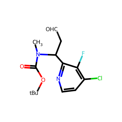 CN(C(=O)OC(C)(C)C)C(CC=O)c1nccc(Cl)c1F